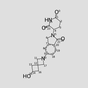 O=C1CCC(N2Cc3cc(N4CC5(CC(O)C5)C4)ccc3C2=O)C(=O)N1